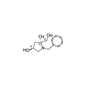 C[C@@]1(CO)C[C@H](O)CN1Cc1ccccc1